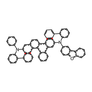 c1c(N(c2ccc3oc4ccccc4c3c2)c2ccccc2C2=CC=CCC2)cc2c(c#1)c1ccc3cc(N(c4ccccc4)c4ccccc4-c4ccccc4)ccc3c1c1ccccc21